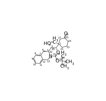 CC1(C[C@@H](O)[C@@H]2Cc3ccccc3CN2C(=O)OC(C)(C)C)CCCC(=O)C1